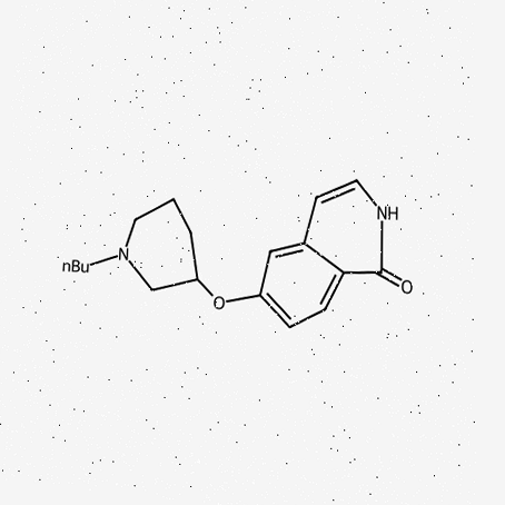 CCCCN1CCCC(Oc2ccc3c(=O)[nH]ccc3c2)C1